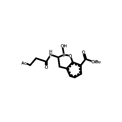 CC(=O)CCC(=O)NC1Cc2cccc(C(=O)OCC(C)C)c2OB1O